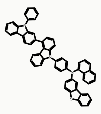 c1ccc(-n2c3ccccc3c3ccc(-c4cccc5c4c4ccccc4n5-c4ccc(N(c5ccc6sc7ccccc7c6c5)c5cccc6ccccc56)cc4)cc32)cc1